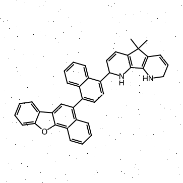 CC1(C)C2=C(NCC=C2)C2=C1C=CC(c1ccc(-c3cc4c5ccccc5oc4c4ccccc34)c3ccccc13)N2